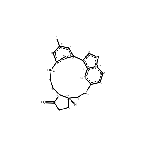 O=C1CC[C@H]2COc3ccn4ncc(c4n3)-c3cc(F)cc(c3)NCCN12